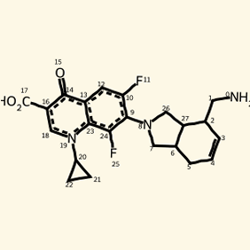 NCC1C=CCC2CN(c3c(F)cc4c(=O)c(C(=O)O)cn(C5CC5)c4c3F)CC12